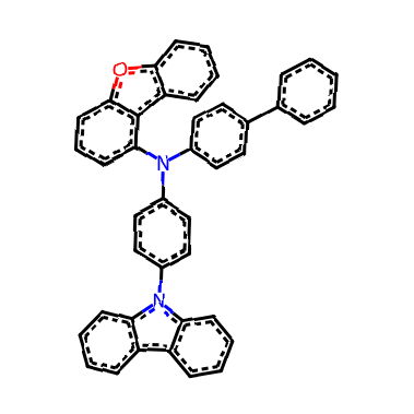 c1ccc(-c2ccc(N(c3ccc(-n4c5ccccc5c5ccccc54)cc3)c3cccc4oc5ccccc5c34)cc2)cc1